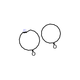 O=C1CCCCCC/C=C/CCCCCCC1.O=C1CCCCCCCCCCCCCC1